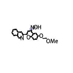 COCCOc1ccc2oc(-c3cc4ccccc4cn3)c/c(=N/O)c2c1